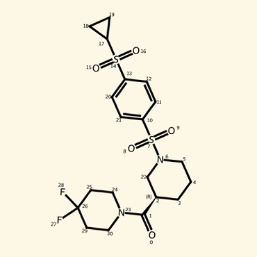 O=C([C@@H]1CCCN(S(=O)(=O)c2ccc(S(=O)(=O)C3CC3)cc2)C1)N1CCC(F)(F)CC1